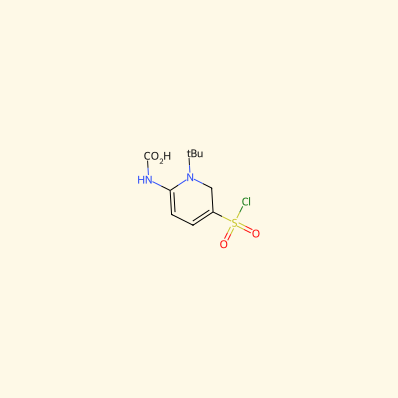 CC(C)(C)N1CC(S(=O)(=O)Cl)=CC=C1NC(=O)O